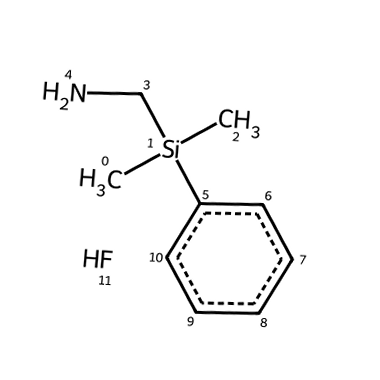 C[Si](C)(CN)c1ccccc1.F